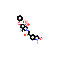 O=C1Cc2cc(C(O)CN3C[C@H]4C[C@H](Oc5ccccc5)[C@H](O)[C@@]4(O)C3)ccc2N1